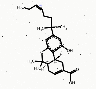 CC/C=C\CCC(C)(C)c1cc(O)c2c(c1)OC(C)(C)[C@@H]1CC=C(C(=O)O)C[C@@H]21